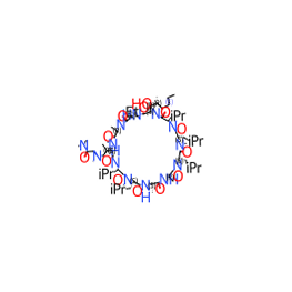 C/C=C/C[C@@H](C)[C@@H](O)[C@H]1C(=O)N[C@@H](CC)C(=O)N(C)[C@H](C)C(=O)N(C)[C@@H]([C@H](C)CN(C)CC(=O)N(C)C)C(=O)NC(C(C)C)C(=O)N(C)[C@@H](CC(C)C)C(=O)N[C@@H](C)C(=O)N[C@H](C)C(=O)N(C)[C@@H](CC(C)C)C(=O)N(C)[C@@H](CC(C)C)C(=O)N(C)C(C(C)C)C(=O)N1C